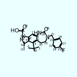 CC(C)(C)c1c2c(cc3c1c(I)nn3C(=O)O)NC(=O)N(Cc1ccc(F)cc1)CC2